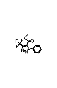 COC(=O)c1c(C(F)(F)F)nnn1-c1ccccc1